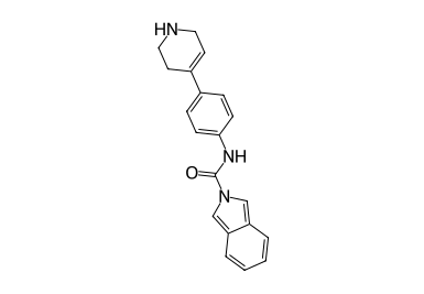 O=C(Nc1ccc(C2=CCNCC2)cc1)n1cc2ccccc2c1